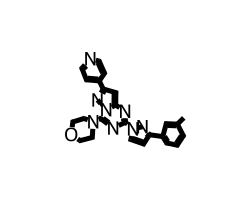 Cc1cccc(-c2ccn(-c3nc(N4CCOCC4)n4nc(-c5ccncc5)cc4n3)n2)c1